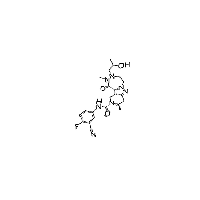 CC(O)CN1CCn2nc3c(c2C(=O)N1C)CN(C(=O)Nc1ccc(F)c(C#N)c1)[C@H](C)C3